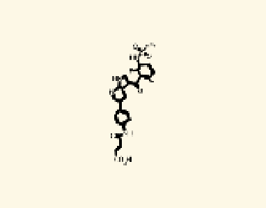 CCCS(=O)(=O)Nc1ccc(F)c(C(=O)c2c[nH]c3ncc(-c4ccc(NC(=O)CCC(=O)O)cc4)cc23)c1F